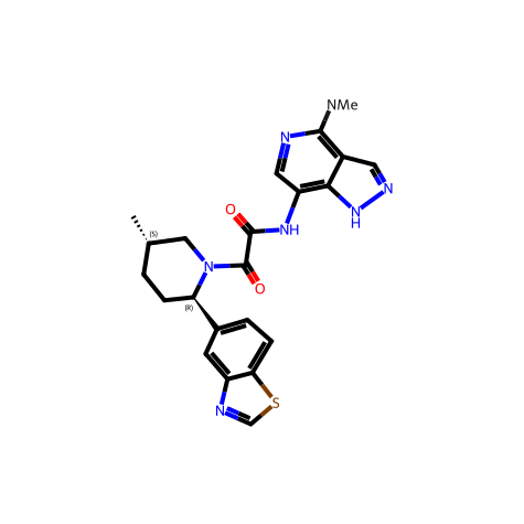 CNc1ncc(NC(=O)C(=O)N2C[C@@H](C)CC[C@@H]2c2ccc3scnc3c2)c2[nH]ncc12